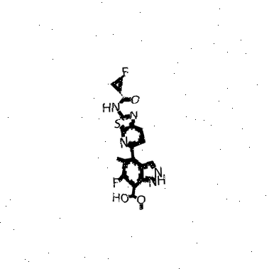 COC(O)c1c(F)c(C)c(-c2ccc3nc(NC(=O)[C@@H]4C[C@@H]4F)sc3n2)c2cn[nH]c12